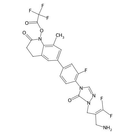 Cc1cc(-c2ccc(-n3cnn(CC(CN)=C(F)F)c3=O)c(F)c2)cc2c1N(OC(=O)C(F)(F)F)C(=O)CC2